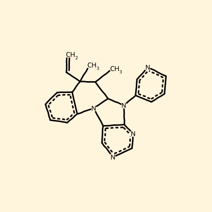 C=CC1(C)c2ccccc2N2c3cncnc3N(c3cccnc3)C2C1C